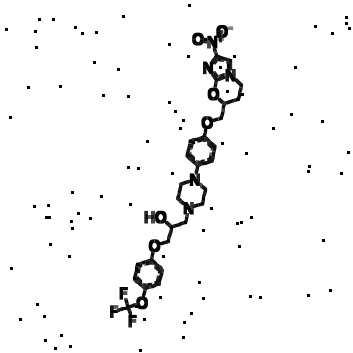 O=[N+]([O-])c1cn2c(n1)OC(COc1ccc(N3CCN(CC(O)COc4ccc(OC(F)(F)F)cc4)CC3)cc1)CC2